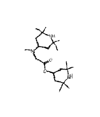 CN(CC(=O)OC1CC(C)(C)NC(C)(C)C1)C1CC(C)(C)NC(C)(C)C1